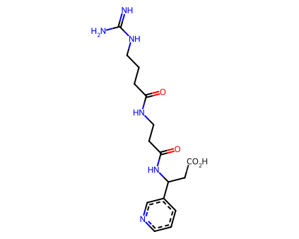 N=C(N)NCCCC(=O)NCCC(=O)NC(CC(=O)O)c1cccnc1